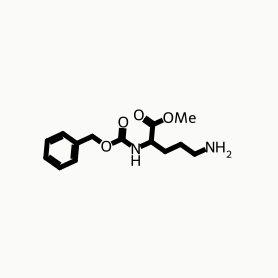 COC(=O)C(CCCN)NC(=O)OCc1ccccc1